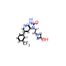 O=c1[nH]c2ncc(-c3cccc(C(F)(F)F)c3)cc2n1CCN1CC(O)C1